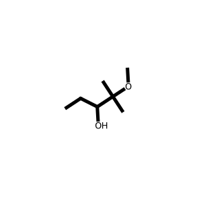 CCC(O)C(C)(C)OC